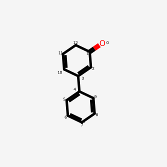 O=C1C=C(c2cc[c]cc2)C=CC1